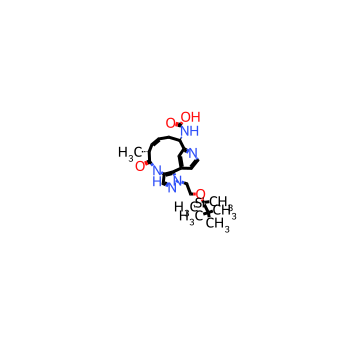 C[C@@H]1C=CC[C@H](NC(=O)O)c2cc(ccn2)-c2c(cnn2CCO[Si](C)(C)C(C)(C)C)NC1=O